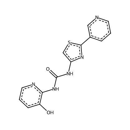 O=C(Nc1csc(-c2cccnc2)n1)Nc1ncccc1O